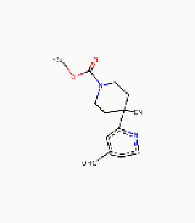 CC(C)(C)OC(=O)N1CCC(C#N)(c2cc(C=O)ccn2)CC1